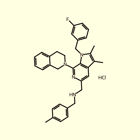 Cc1ccc(CNCc2cc3c(C)c(C)n(Cc4cccc(F)c4)c3c(N3CCc4ccccc4C3)n2)cc1.Cl